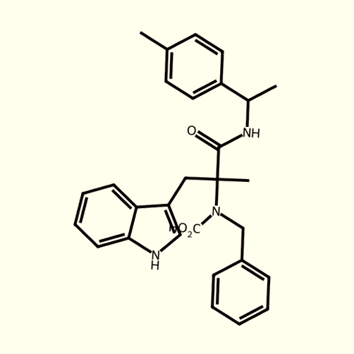 Cc1ccc(C(C)NC(=O)C(C)(Cc2c[nH]c3ccccc23)N(Cc2ccccc2)C(=O)O)cc1